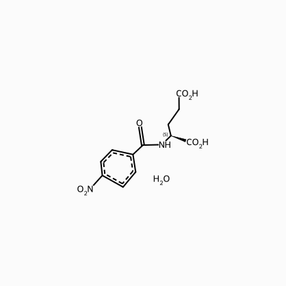 O.O=C(O)CC[C@H](NC(=O)c1ccc([N+](=O)[O-])cc1)C(=O)O